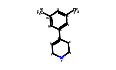 FC(F)(F)c1cc(C2=CC[N]CC2)cc(C(F)(F)F)c1